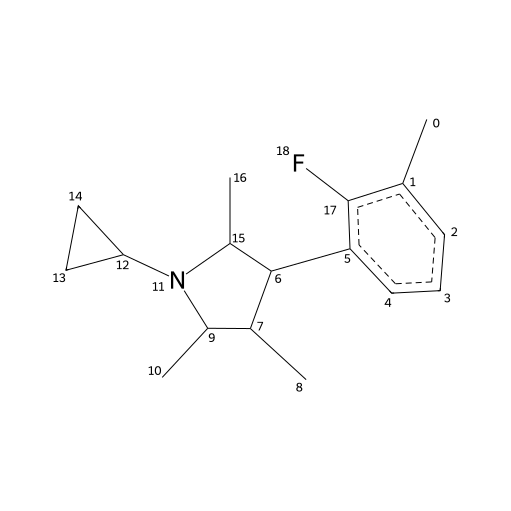 Cc1cccc(C2C(C)C(C)N(C3CC3)C2C)c1F